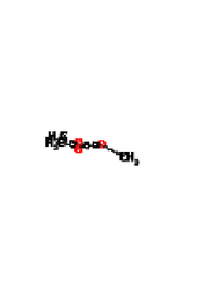 CCCCCCCCCOc1ccc(-c2ccc(C(=O)Oc3ccc(CC(C)CC)cc3)cc2)cc1